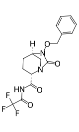 O=C(NC(=O)C(F)(F)F)[C@@H]1CC[C@@H]2CN1C(=O)N2OCc1ccccc1